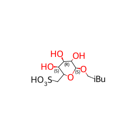 CCC(C)CO[C@H]1OC(CS(=O)(=O)O)[C@@H](O)[C@@H](O)C1O